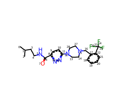 CC(C)CCNC(=O)c1ccc(N2CCN(Cc3ccccc3C(F)(F)F)CC2)nn1